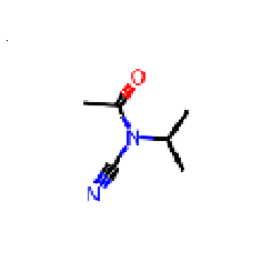 CC(=O)N(C#N)C(C)C